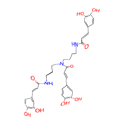 O=C(/C=C/c1ccc(O)c(O)c1)NCCCCN(CCCNC(=O)/C=C/c1ccc(O)c(O)c1)C(=O)/C=C/c1ccc(O)c(O)c1